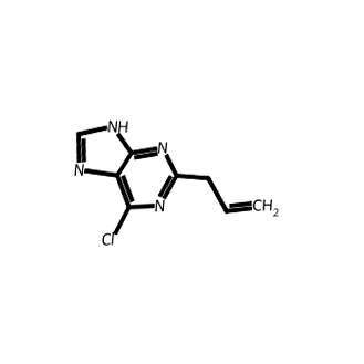 C=CCc1nc(Cl)c2nc[nH]c2n1